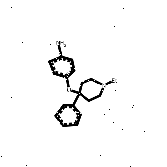 CCN1CCC(Oc2ccc(N)cc2)(c2ccccc2)CC1